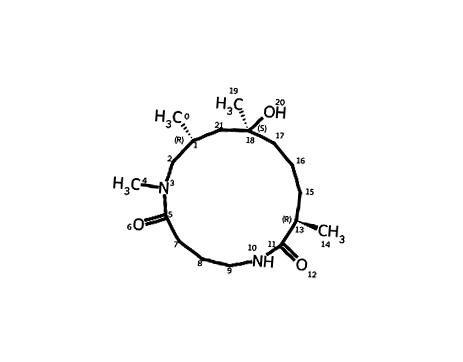 C[C@H]1CN(C)C(=O)CCCNC(=O)[C@H](C)CCC[C@](C)(O)C1